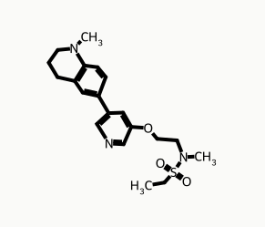 CCS(=O)(=O)N(C)CCOc1cncc(-c2ccc3c(c2)CCCN3C)c1